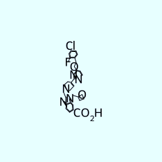 O=C(O)c1ccc2nc(CN3CC=C(c4nccc(OCc5ccc(Cl)cc5F)n4)CC3)n(CC3CCO3)c2c1